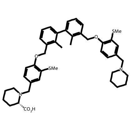 CSc1cc(CN2CCCCC2)ccc1OCc1cccc(-c2cccc(COc3ccc(CN4CCCC[C@H]4C(=O)O)cc3SC)c2C)c1C